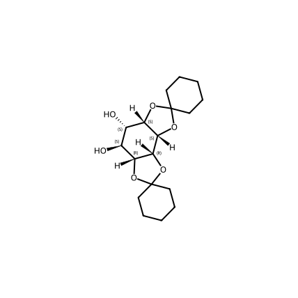 O[C@H]1[C@H](O)[C@@H]2OC3(CCCCC3)O[C@@H]2[C@@H]2OC3(CCCCC3)O[C@H]12